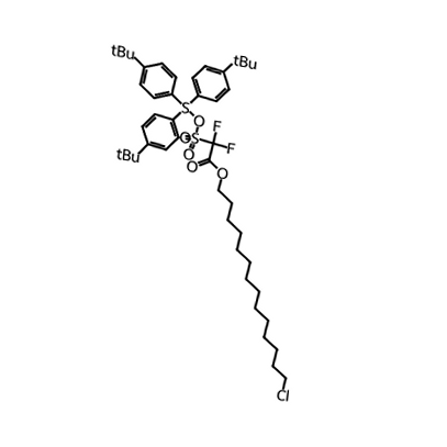 CC(C)(C)c1ccc(S(OS(=O)(=O)C(F)(F)C(=O)OCCCCCCCCCCCCCCCl)(c2ccc(C(C)(C)C)cc2)c2ccc(C(C)(C)C)cc2)cc1